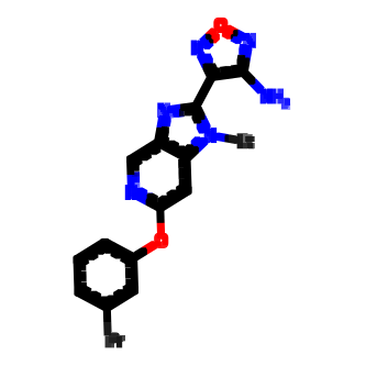 CCn1c(-c2nonc2N)nc2cnc(Oc3cccc(C(C)C)c3)cc21